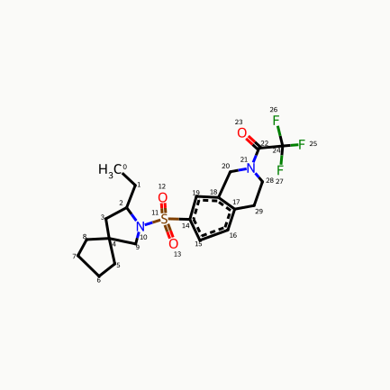 CCC1CC2(CCCC2)CN1S(=O)(=O)c1ccc2c(c1)CN(C(=O)C(F)(F)F)CC2